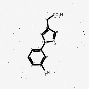 N#Cc1cccc(-n2cc(CC(=O)O)cn2)c1